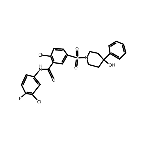 O=C(Nc1ccc(F)c(Cl)c1)c1cc(S(=O)(=O)N2CCC(O)(c3ccccc3)CC2)ccc1Cl